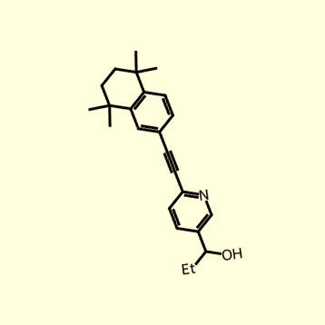 CCC(O)c1ccc(C#Cc2ccc3c(c2)C(C)(C)CCC3(C)C)nc1